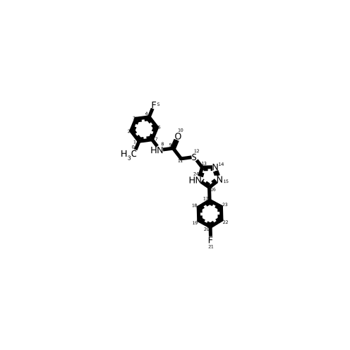 Cc1ccc(F)cc1NC(=O)CSc1nnc(-c2ccc(F)cc2)[nH]1